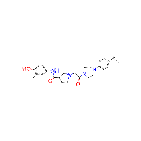 C=C(C)c1ccc(N2CCN(C(=O)CN3CC[C@@H](C(=O)Nc4ccc(O)c(C)c4)C3)CC2)cc1